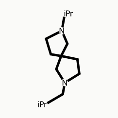 CC(C)CN1CCC2(CCN(C(C)C)C2)C1